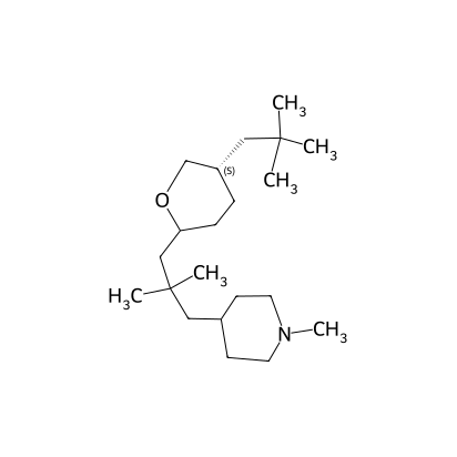 CN1CCC(CC(C)(C)CC2CC[C@@H](CC(C)(C)C)CO2)CC1